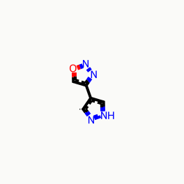 [c]1n[nH]cc1-c1conn1